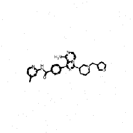 Cc1ccnc(NC(=O)c2ccc(-c3nc([C@@H]4CCCN(CC5CCOC5)C4)n4ccnc(N)c34)cc2)c1